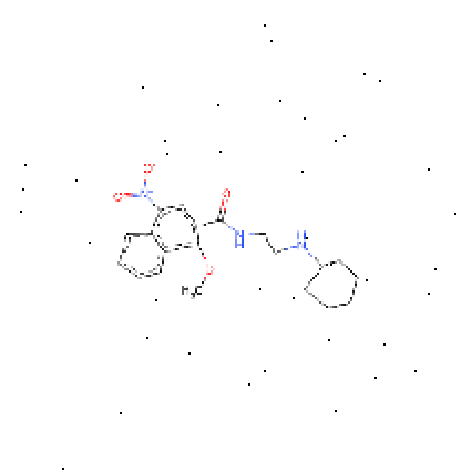 COc1c(C(=O)NCCNC2CCCCC2)cc([N+](=O)[O-])c2ccccc12